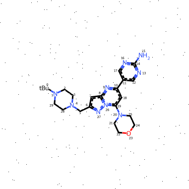 CC(C)(C)N1CCN(Cc2cc3nc(-c4cnc(N)nc4)cc(N4CCOCC4)n3n2)CC1